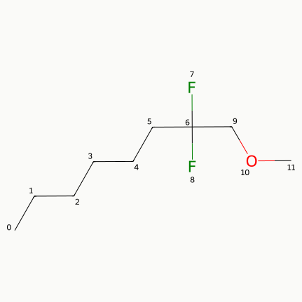 CCCCCCC(F)(F)COC